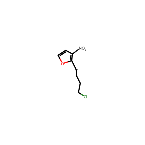 O=[N+]([O-])c1ccoc1[CH]CCCCl